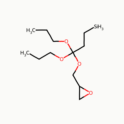 CCCOC(CC[SiH3])(OCCC)OCC1CO1